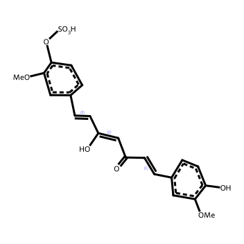 COc1cc(/C=C/C(=O)/C=C(O)/C=C/c2ccc(OS(=O)(=O)O)c(OC)c2)ccc1O